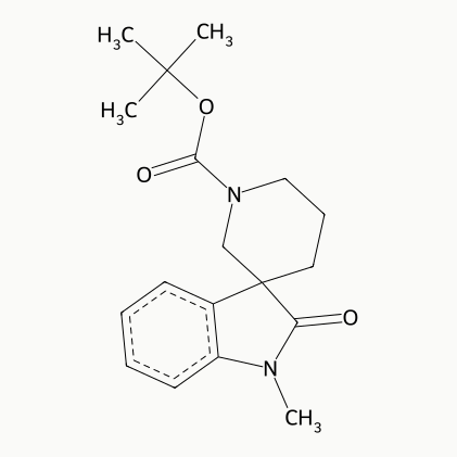 CN1C(=O)C2(CCCN(C(=O)OC(C)(C)C)C2)c2ccccc21